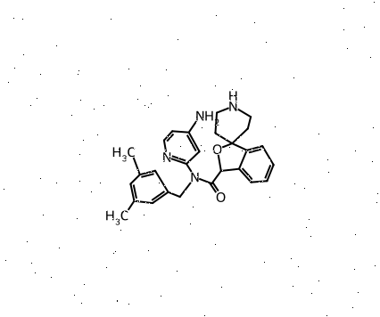 Cc1cc(C)cc(CN(C(=O)C2OC3(CCNCC3)c3ccccc32)c2cc(N)ccn2)c1